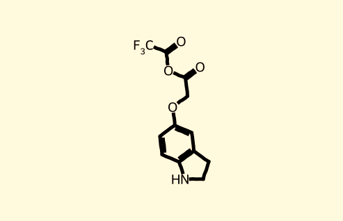 O=C(COc1ccc2c(c1)CCN2)OC(=O)C(F)(F)F